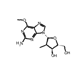 COc1nc(N)nc2c1ncn2[C@@H]1O[C@H](CO)[C@@H](O)C1C